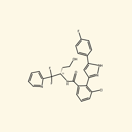 O=C(N[C@@H](CCO)C(F)(F)c1ccccn1)c1cccc(Cl)c1-c1cc(-c2ccc(F)cc2)[nH]n1